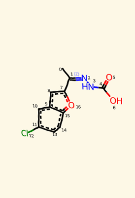 C/C(=N/NC(=O)O)c1cc2cc(Cl)ccc2o1